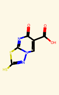 O=C(O)c1cn2nc(S)sc2nc1=O